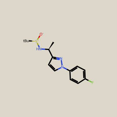 C[C@H](N[S@+]([O-])C(C)(C)C)c1ccn(-c2ccc(F)cc2)n1